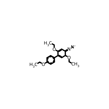 CCOC1=CC(=[N+]=[N-])C(OCC)C=C1c1ccc(OCC)cc1